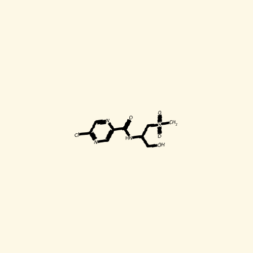 CS(=O)(=O)CC(CO)NC(=O)c1cnc(Cl)cn1